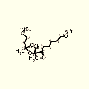 CC(C)OCCCCCC(=O)C(C)(C)OC(C)(C)CCOC(C)(C)C